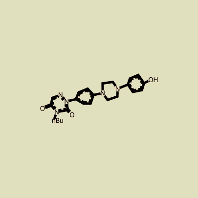 CCCCn1c(=O)cnn(-c2ccc(N3CCN(c4ccc(O)cc4)CC3)cc2)c1=O